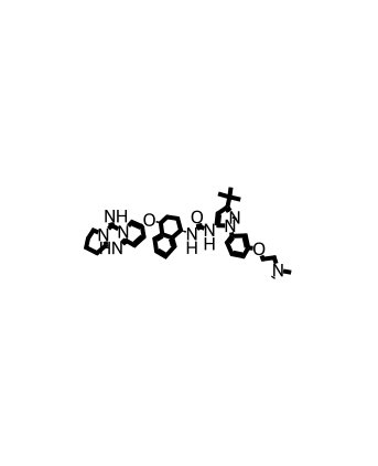 CN(C)CCOc1cccc(-n2nc(C(C)(C)C)cc2NC(=O)N[C@H]2CC[C@@H](Oc3ccc(=N)n(C(=N)N4CCCCC4)c3)c3ccccc32)c1